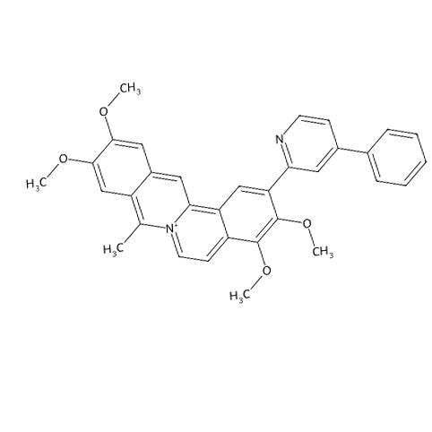 COc1cc2cc3c4cc(-c5cc(-c6ccccc6)ccn5)c(OC)c(OC)c4cc[n+]3c(C)c2cc1OC